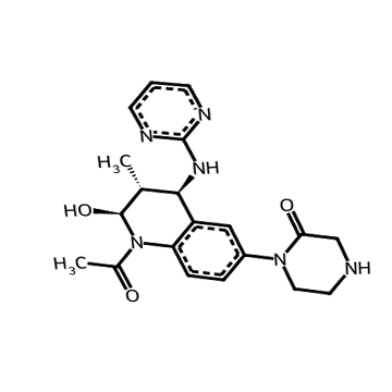 CC(=O)N1c2ccc(N3CCNCC3=O)cc2[C@H](Nc2ncccn2)[C@@H](C)[C@@H]1O